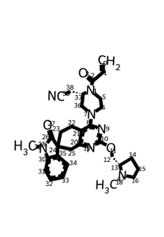 C=CC(=O)N1CCN(c2nc(OC[C@@H]3CCCN3C)nc3c2CCC2(C3)C(=O)N(C)c3ccccc32)C[C@@H]1CC#N